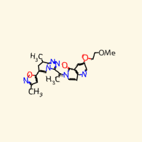 COCCOc1cnc2ccn([C@@H](C)c3nnc4n3C=C(c3cc(C)no3)CC4C)c(=O)c2c1